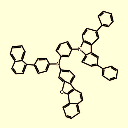 c1ccc(-c2ccc3c(c2)c2cc(-c4ccccc4)ccc2n3-c2cccc(N(c3ccc(-c4cccc5ccccc45)cc3)c3ccc4c(c3)oc3c5ccccc5ccc43)c2)cc1